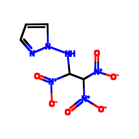 O=[N+]([O-])C(Nn1cccn1)C([N+](=O)[O-])[N+](=O)[O-]